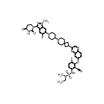 CCN(C)S(=O)(=O)Nc1ccc(F)c(Oc2ccc3ncc(C4CC5(CCN(C6CCN(c7cc8c(cc7F)c(N7CCC(=O)NC7=O)nn8C)CC6)CC5)C4)nc3c2)c1C#N